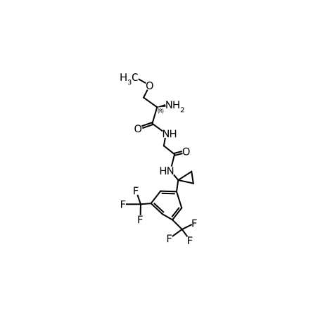 COC[C@@H](N)C(=O)NCC(=O)NC1(c2cc(C(F)(F)F)cc(C(F)(F)F)c2)CC1